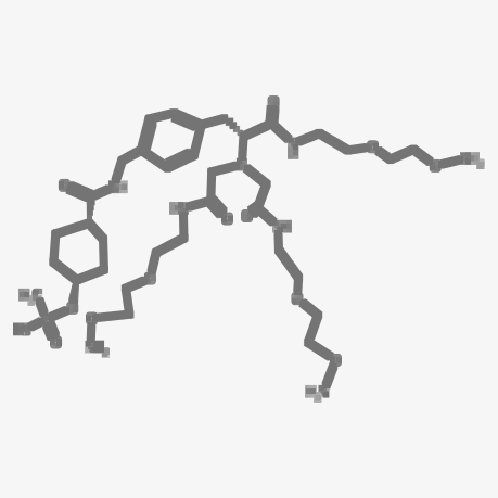 CP(=O)(S)O[C@H]1CC[C@H](C(=O)NCc2ccc(C[C@H](C(=O)NCCOCCON)N(CC(=O)NCCOCCON)CC(=O)NCCOCCON)cc2)CC1